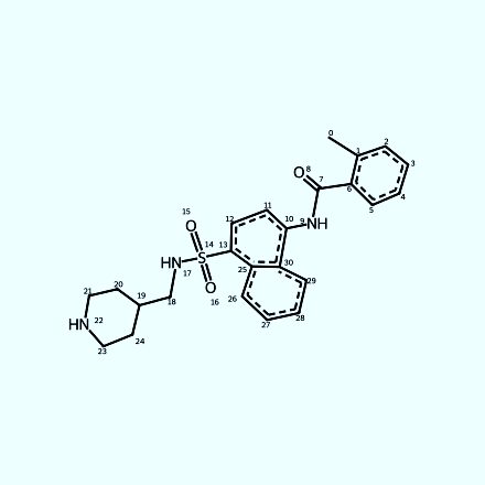 Cc1ccccc1C(=O)Nc1ccc(S(=O)(=O)NCC2CCNCC2)c2ccccc12